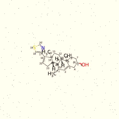 C[C@@H]1C=C2C[C@H](O)CC[C@]2(C)[C@H]2CC[C@]3(C)C(c4cscn4)=CC[C@H]3[C@H]12